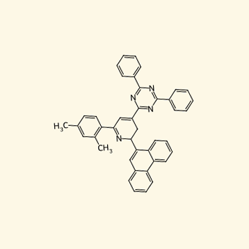 Cc1ccc(C2=NC(c3cc4ccccc4c4ccccc34)CC(c3nc(-c4ccccc4)nc(-c4ccccc4)n3)=C2)c(C)c1